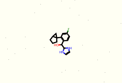 OC(c1ccc(F)cc1C12CCCC1C2)C1NC=CN1